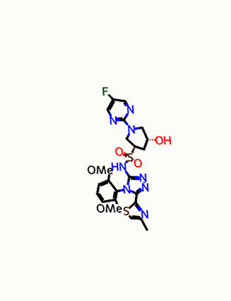 COc1cccc(OC)c1-n1c(NS(=O)(=O)[C@@H]2C[C@@H](O)CN(c3ncc(F)cn3)C2)nnc1-c1nc(C)cs1